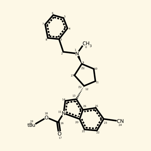 CN(Cc1ccccc1)[C@H]1CC[C@H](c2cn(C(=O)OC(C)(C)C)c3ccc(C#N)cc23)C1